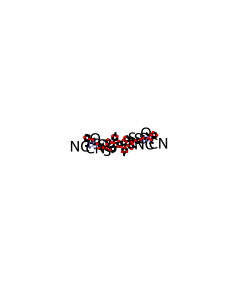 C=S(/C=C1\C(=O)c2ccccc2C1=C(C#N)C#N)c1ccc(-c2cc3c4c(ccc3s2)-c2cc3c(cc2C4(c2ccc(C)cc2)c2ccc(C)cc2)-c2ccc4sc(-c5ccc(S/C=C6\C(=O)c7ccccc7C6=C(C#N)C#N)s5)cc4c2C3(c2ccc(C)cc2)c2ccc(C)cc2)s1